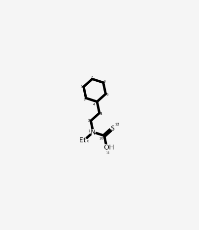 CCN(CCC1CCCCC1)C(O)=S